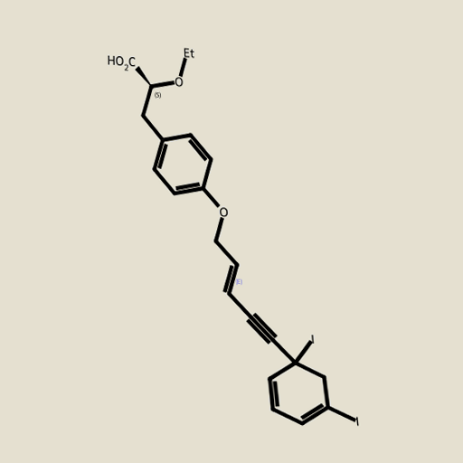 CCO[C@@H](Cc1ccc(OC/C=C/C#CC2(I)C=CC=C(I)C2)cc1)C(=O)O